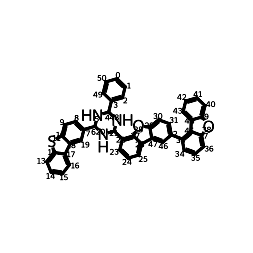 c1ccc(C2NC(c3ccc4sc5ccccc5c4c3)NC(c3cccc4c3oc3ccc(-c5cccc6oc7ccccc7c56)cc34)N2)cc1